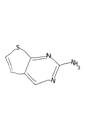 Nc1ncc2ccsc2n1